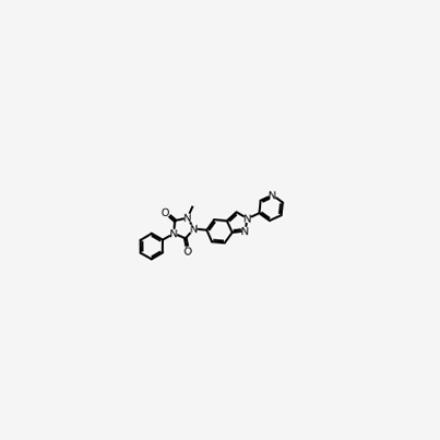 Cn1c(=O)n(-c2ccccc2)c(=O)n1-c1ccc2nn(-c3cccnc3)cc2c1